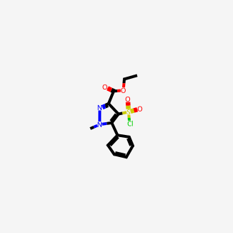 CCOC(=O)c1nn(C)c(-c2ccccc2)c1S(=O)(=O)Cl